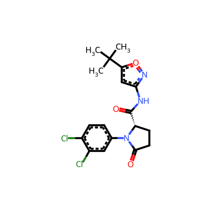 CC(C)(C)c1cc(NC(=O)[C@@H]2CCC(=O)N2c2ccc(Cl)c(Cl)c2)no1